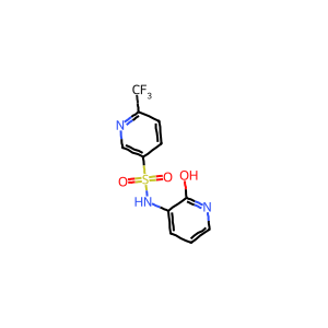 O=S(=O)(Nc1cccnc1O)c1ccc(C(F)(F)F)nc1